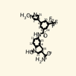 Cn1cc(-c2cc(C(=O)Nc3ccc4c(c3)CC(C(N)=O)=CN4O)cc(C(F)(F)F)c2)cn1